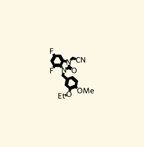 CCOc1cc(Cn2c(=O)n(CC#N)c3cc(F)cc(F)c32)ccc1OC